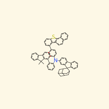 CC1(C)c2ccccc2-c2cccc(-c3ccccc3N(c3ccc(-c4cccc5sc6c7ccccc7ccc6c45)cc3)c3ccc4c(c3)C3(c5ccccc5-4)C4CC5CC(C4)CC3C5)c21